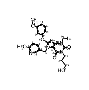 Cc1ccc(Cn2c(Oc3cccc(OC(F)(F)F)c3)nc3c2c(=O)n(CCCO)c(=O)n3CI)cn1